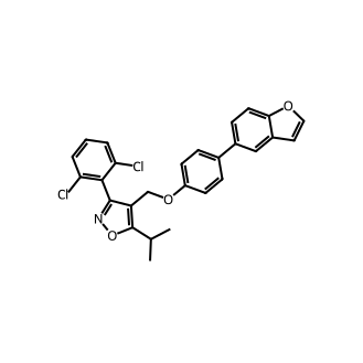 CC(C)c1onc(-c2c(Cl)cccc2Cl)c1COc1ccc(-c2ccc3occc3c2)cc1